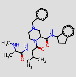 CN[C@@H](C)C(=O)N[C@H](C(=O)N1CCN(Cc2ccccc2)C[C@H]1C(=O)NC1CCc2ccccc21)C(C)C